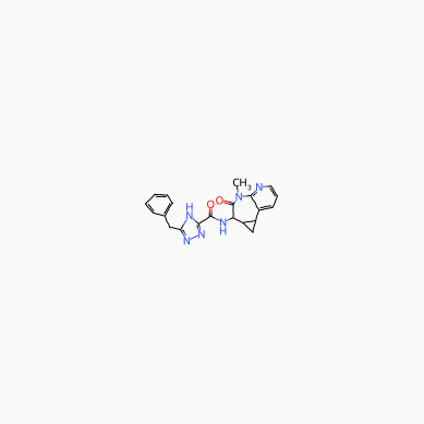 CN1C(=O)C(NC(=O)c2nnc(Cc3ccccc3)[nH]2)C2CC2c2cccnc21